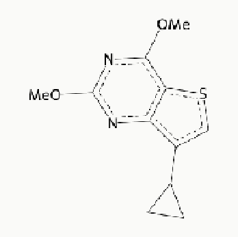 COc1nc(OC)c2scc(C3CC3)c2n1